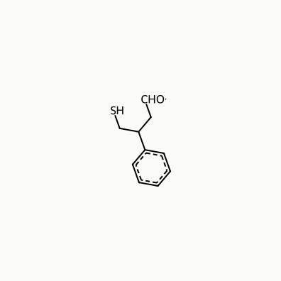 O=[C]CC(CS)c1ccccc1